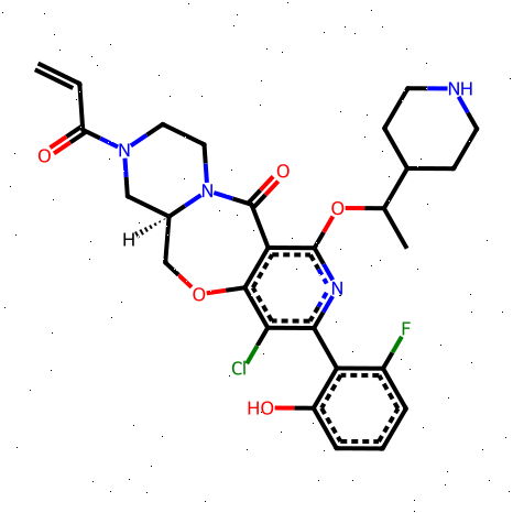 C=CC(=O)N1CCN2C(=O)c3c(OC(C)C4CCNCC4)nc(-c4c(O)cccc4F)c(Cl)c3OC[C@H]2C1